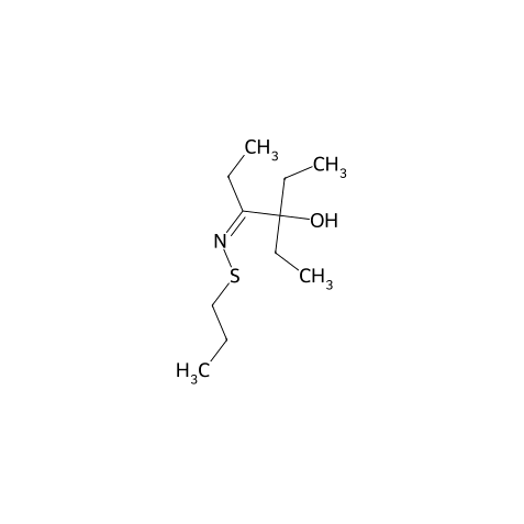 CCCS/N=C(/CC)C(O)(CC)CC